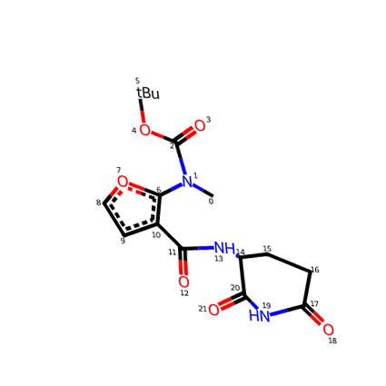 CN(C(=O)OC(C)(C)C)c1occc1C(=O)NC1CCC(=O)NC1=O